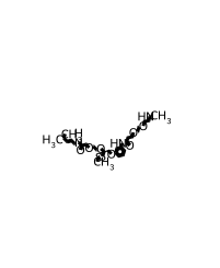 CNCCOCCOCCC(=O)Nc1cccc(OC[C@H](OCCOCC(=O)NC/C=C/C(C)C)SSC)c1